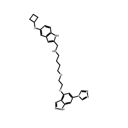 c1cc2[nH]c(CNCCCCOCCOc3cc(-n4cnnc4)cc4[nH]ncc34)cc2cc1OC1CCC1